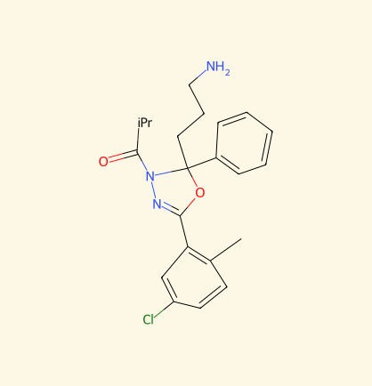 Cc1ccc(Cl)cc1C1=NN(C(=O)C(C)C)C(CCCN)(c2ccccc2)O1